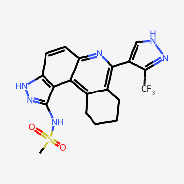 CS(=O)(=O)Nc1n[nH]c2ccc3nc(-c4c[nH]nc4C(F)(F)F)c4c(c3c12)CCCC4